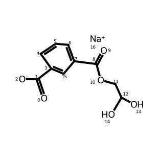 O=C([O-])c1cccc(C(=O)OCC(O)O)c1.[Na+]